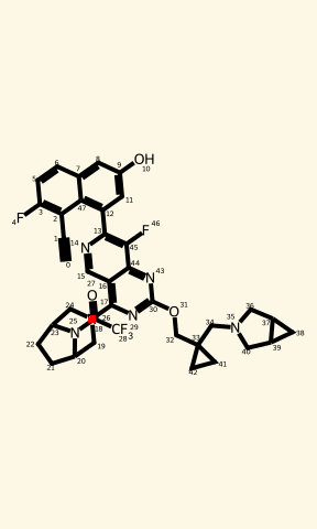 C#Cc1c(F)ccc2cc(O)cc(-c3ncc4c(N5CC6CCC(C5)N6C(=O)C(F)(F)F)nc(OCC5(CN6CC7CC7C6)CC5)nc4c3F)c12